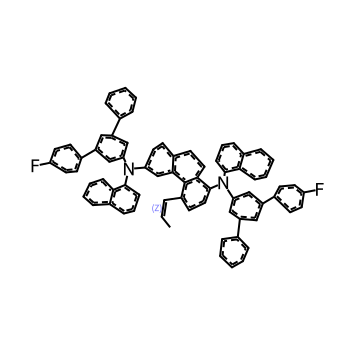 C/C=C\c1ccc(N(c2cc(-c3ccccc3)cc(-c3ccc(F)cc3)c2)c2cccc3ccccc23)c2ccc3ccc(N(c4cc(-c5ccccc5)cc(-c5ccc(F)cc5)c4)c4cccc5ccccc45)cc3c12